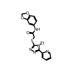 CCn1c(SCC(=O)Nc2ccc3c(c2)OCO3)nnc1-c1ccccn1